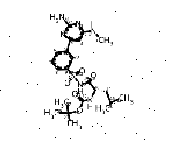 CNc1cc(-c2cccc(S(=O)(=O)NC(=O)[C@H](CC(C)C)NC(=O)OC(C)(C)C)c2)nc(N)n1